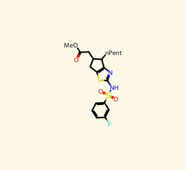 CCCCCC1c2nc(NS(=O)(=O)c3cccc(F)c3)sc2CC1CC(=O)OC